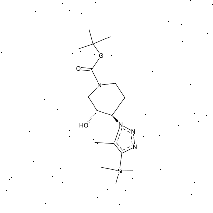 Cc1c([Si](C)(C)C)nnn1[C@@H]1CCN(C(=O)OC(C)(C)C)C[C@H]1O